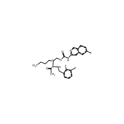 [CH2]CCC[C@@H](COC(=O)Nc1cc2cc(F)ccc2cn1)N(NCc1cccc(F)c1F)C(C)=O